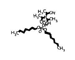 CC(O)N(C(C)O)C(C)O.CCCCCC=COP(=O)(O)OC=CCCCCC